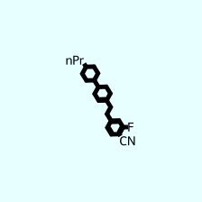 CCCC1CCC(C2CC=C(CCc3ccc(C#N)c(F)c3)CC2)CC1